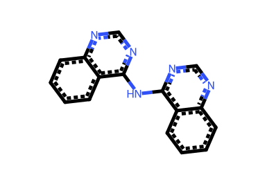 c1ccc2c(Nc3ncnc4ccccc34)ncnc2c1